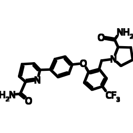 NC(=O)c1cccc(-c2ccc(Oc3ccc(C(F)(F)F)cc3CN3CCCC3C(N)=O)cc2)n1